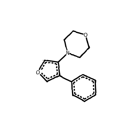 [c]1occ(-c2ccccc2)c1N1CCOCC1